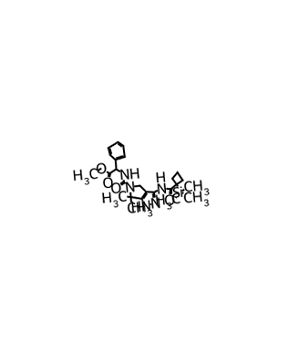 COC(=O)C(NC(=O)N1Cc2c(NC(=O)C3([Si](C)(C)C)CCC3)n[nH]c2C1(C)C)c1ccccc1